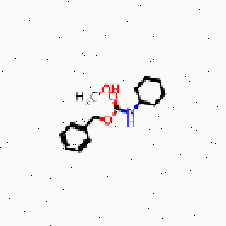 CO.O=C(NC1CCCCC1)OCc1ccccc1